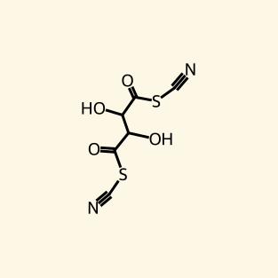 N#CSC(=O)C(O)C(O)C(=O)SC#N